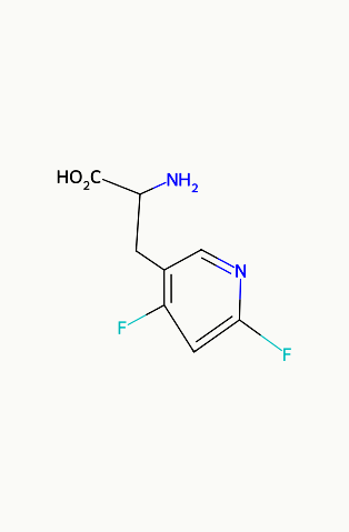 NC(Cc1cnc(F)cc1F)C(=O)O